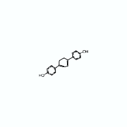 Oc1ccc(C2=CC=C(c3ccc(O)cc3)CC2)cc1